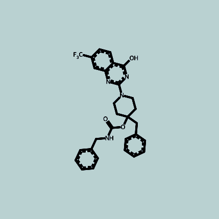 O=C(NCc1ccccc1)OC1(Cc2ccccc2)CCN(c2nc(O)c3ccc(C(F)(F)F)cc3n2)CC1